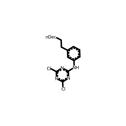 CCCCCCCCCCCCc1cccc(Nc2nc(Cl)nc(Cl)n2)c1